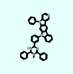 CN1C(c2ccccc2)=NC(c2cccc(-n3c4ccccc4c4cc5c6cnccc6n(-c6ccccc6)c5cc43)c2)NC1c1ccccc1